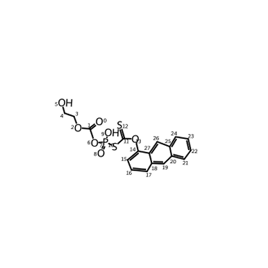 O=C(OCCO)OP(=O)(O)SC(=S)Oc1cccc2cc3ccccc3cc12